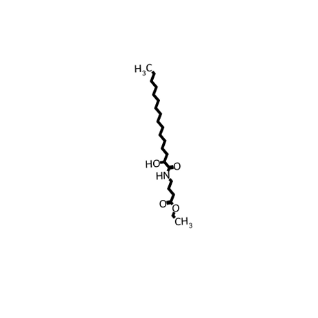 CCCCCCCCCCCCCCC(O)C(=O)NCCCC(=O)OCC